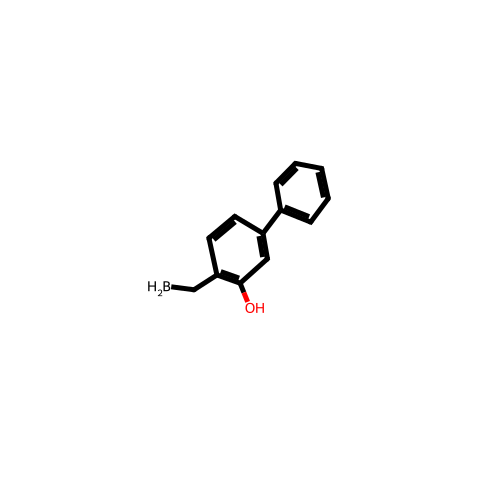 BCc1ccc(-c2ccccc2)cc1O